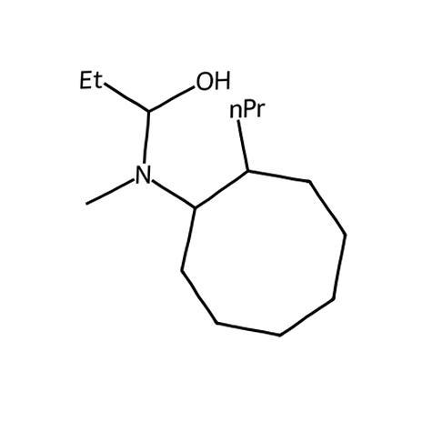 CCCC1CCCCCCC1N(C)C(O)CC